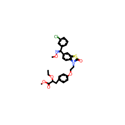 CCOC(Cc1ccc(OCCn2c(=O)sc3cc(/C(=N\OC)c4cccc(Cl)c4)ccc32)cc1)C(=O)OC